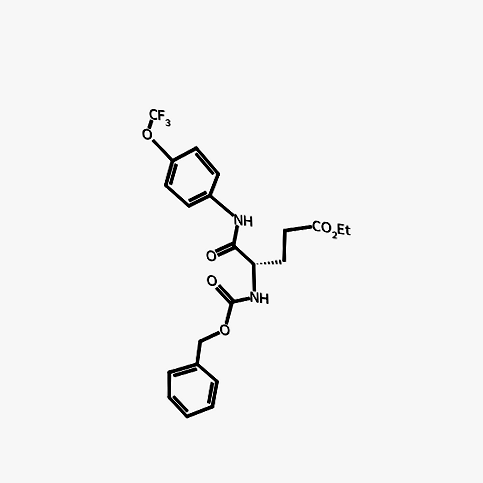 CCOC(=O)CC[C@H](NC(=O)OCc1ccccc1)C(=O)Nc1ccc(OC(F)(F)F)cc1